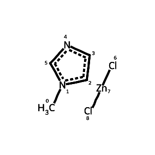 Cn1ccnc1.[Cl][Zn][Cl]